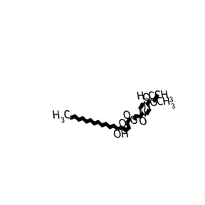 CCCCCCCCCCCCCC(O)C1=CCC(C(=O)OCC(=O)N2CCN(C(=O)OC(C)(C)C)CC2)O1